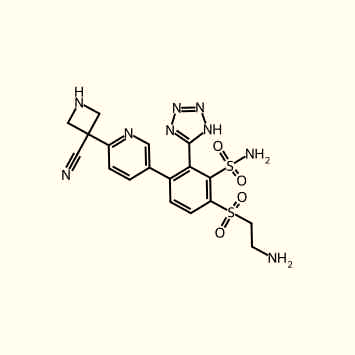 N#CC1(c2ccc(-c3ccc(S(=O)(=O)CCN)c(S(N)(=O)=O)c3-c3nnn[nH]3)cn2)CNC1